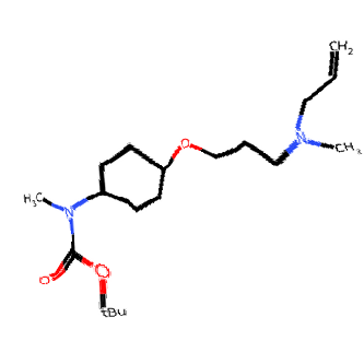 C=CCN(C)CCCOC1CCC(N(C)C(=O)OC(C)(C)C)CC1